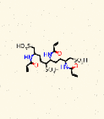 C=CC(=O)NC(CCC(NC(=O)C=C)C(CCC(CS(=O)(=O)O)NC(=O)C=C)S(=O)(=O)O)CS(=O)(=O)O